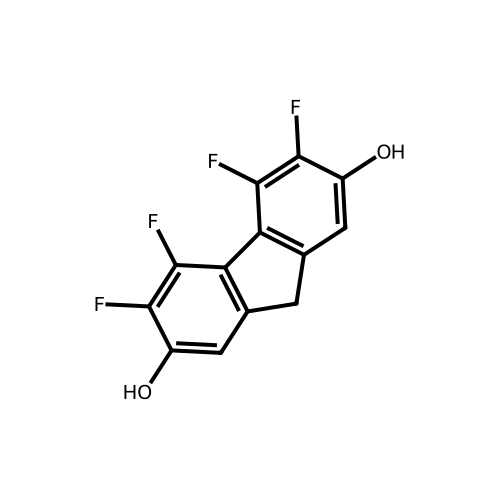 Oc1cc2c(c(F)c1F)-c1c(cc(O)c(F)c1F)C2